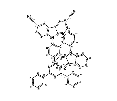 N#Cc1ccc2c(c1)c1cc(C#N)ccc1n2-c1ccc(-c2nc(-c3ccccc3)cc(-c3ccccc3)n2)cc1-c1ccccc1-n1c2ccccc2c2ccccc21